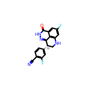 N#Cc1ccc([C@H]2CNc3cc(F)cc4c(=O)[nH]nc2c34)cc1F